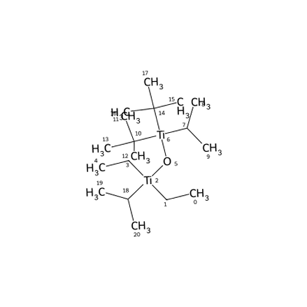 C[CH2][Ti]([CH2]C)([O][Ti]([CH](C)C)([C](C)(C)C)[C](C)(C)C)[CH](C)C